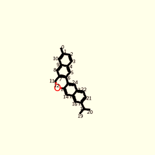 Cc1ccc2cc3c(cc2c1)COc1cc2cc(C(C)C)ccc2cc1-3